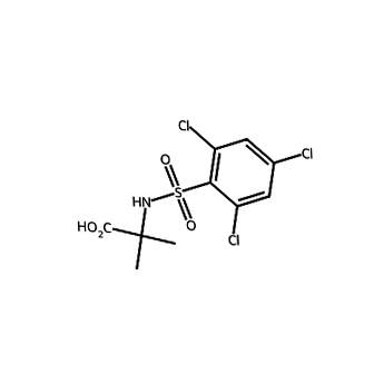 CC(C)(NS(=O)(=O)c1c(Cl)cc(Cl)cc1Cl)C(=O)O